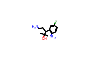 CC(C)(O)C(CCN)c1cc(Br)ccc1N